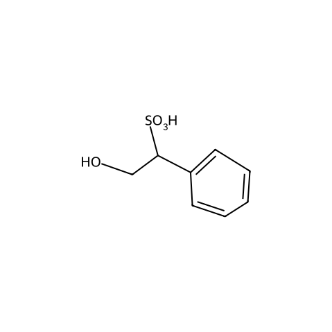 O=S(=O)(O)C(CO)c1ccccc1